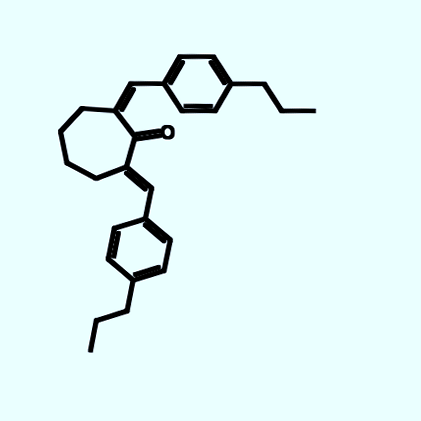 CCCc1ccc(C=C2CCCCC(=Cc3ccc(CCC)cc3)C2=O)cc1